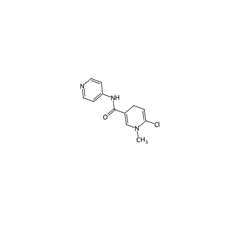 CN1C=C(C(=O)Nc2ccncc2)CC=C1Cl